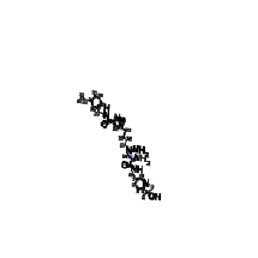 CC(C)(O)c1ccc(CNC(=O)/C(N)=C/N(N)CCCCn2cc(C(=O)NCc3cccc(C4CC4)c3)nn2)cn1